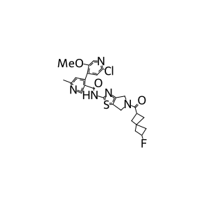 COc1cnc(Cl)cc1-c1cc(C)ncc1C(=O)Nc1nc2c(s1)CN(C(=O)C1CC3(CC(F)C3)C1)C2